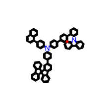 c1ccc(-n2c3ccccc3c3ccccc32)c(-c2ccc(-c3ccc(N(c4ccc(-c5ccc6c(c5)C5(c7ccccc7-c7ccccc75)c5ccccc5-6)cc4)c4ccc(-c5cccc6ccccc56)cc4)cc3)cc2)c1